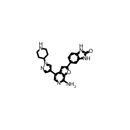 Nc1ncc(-c2cnn(C3CCNCC3)c2)c2cc(-c3ccc4[nH]c(=O)[nH]c4c3)oc12